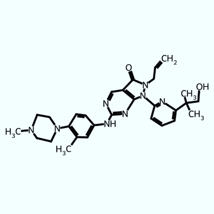 C=CCn1c(=O)c2cnc(Nc3ccc(N4CCN(C)CC4)c(C)c3)nc2n1-c1cccc(C(C)(C)CO)n1